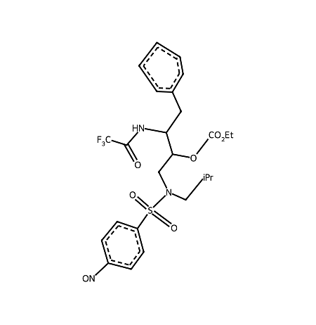 CCOC(=O)OC(CN(CC(C)C)S(=O)(=O)c1ccc(N=O)cc1)C(Cc1ccccc1)NC(=O)C(F)(F)F